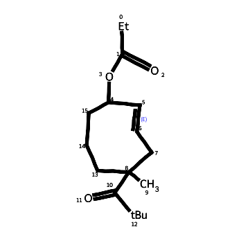 CCC(=O)OC1/C=C/CC(C)(C(=O)C(C)(C)C)CCC1